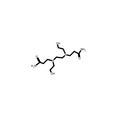 NC(=O)CCN(CCO)CCN(CCO)CCC(N)=O